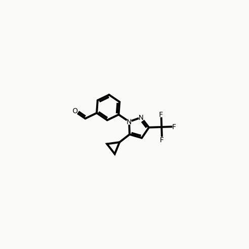 O=Cc1cccc(-n2nc(C(F)(F)F)cc2C2CC2)c1